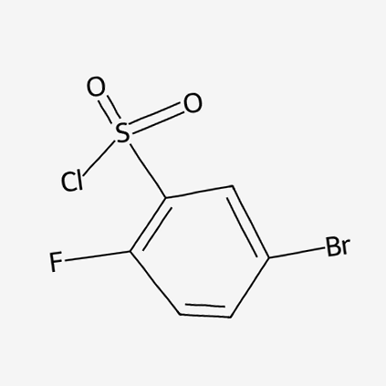 O=S(=O)(Cl)c1cc(Br)ccc1F